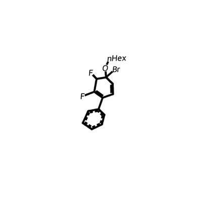 CCCCCCOC1(Br)C=CC(c2ccccc2)=C(F)C1F